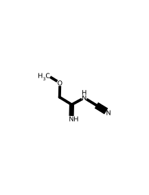 COCC(=N)NC#N